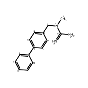 CN(Cc1ccc(-c2ccccc2)cc1)C(=N)N